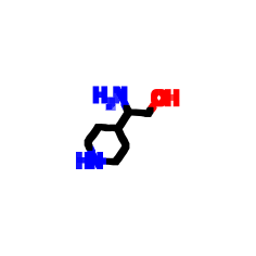 NC(CO)C1CCNCC1